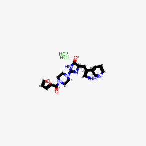 Cl.Cl.O=C1NC(N2CCN(C(=O)c3ccco3)CC2)=N/C1=C\c1c[nH]c2ncccc12